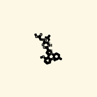 COC(=O)CNC(=O)[C@H](CC(C)C)NC(=O)c1cc(-c2c(OC)cccc2OC)n(C2CCC(C)CC2)n1